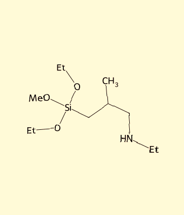 CCNCC(C)C[Si](OC)(OCC)OCC